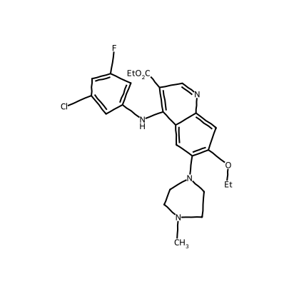 CCOC(=O)c1cnc2cc(OCC)c(N3CCN(C)CC3)cc2c1Nc1cc(F)cc(Cl)c1